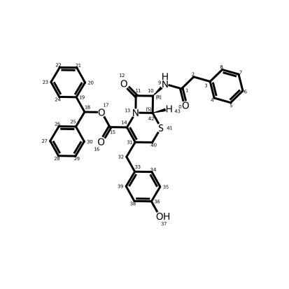 O=C(Cc1ccccc1)N[C@@H]1C(=O)N2C(C(=O)OC(c3ccccc3)c3ccccc3)=C(Cc3ccc(O)cc3)CS[C@@H]12